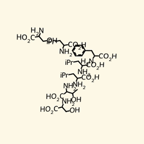 CC(C)CC(N)C(=O)O.CC(C)CC(N)C(=O)O.CC(C)CC(N)C(=O)O.CC(O)C(N)C(=O)O.NC(CO)C(=O)O.NC(CO)C(=O)O.NC(Cc1ccccc1)C(=O)O